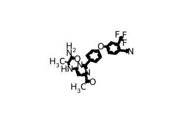 CC(=O)c1cc(N[C@@H](C)C(N)=O)nc(-c2ccc(Oc3ccc(C#N)c(C(F)(F)F)c3)cc2)n1